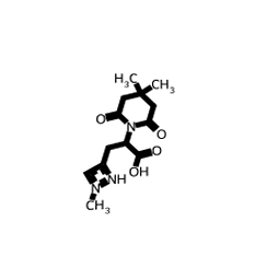 Cn1cc(CC(C(=O)O)N2C(=O)CC(C)(C)CC2=O)[nH]1